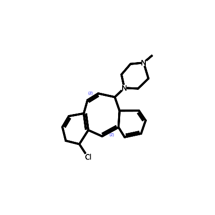 CN1CCN(C2/C=C\C3=C(/C=C4/C=CC=CC42)C(Cl)CC=C3)CC1